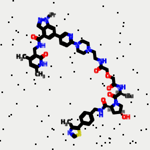 Cc1cc(C)c(CNC(=O)c2cc(-c3ccc(N4CCN(CCNC(=O)COCC(=O)N[C@H](C(=O)N5C[C@H](O)C[C@H]5C(=O)NCc5ccc(-c6scnc6C)cc5)C(C)(C)C)CC4)nc3)cc3c2cnn3C(C)C)c(=O)[nH]1